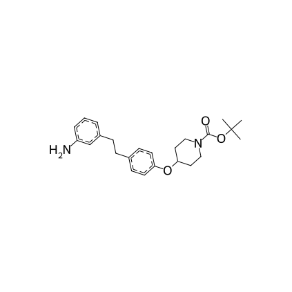 CC(C)(C)OC(=O)N1CCC(Oc2ccc(CCc3cccc(N)c3)cc2)CC1